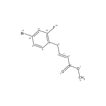 COC(=O)/C=C/Cc1ccc(Br)cc1F